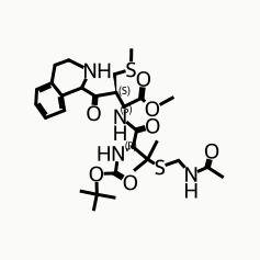 COC(=O)[C@@H](NC(=O)[C@@H](NC(=O)OC(C)(C)C)C(C)(C)SCNC(C)=O)[C@H](CSC)C(=O)C1NCCc2ccccc21